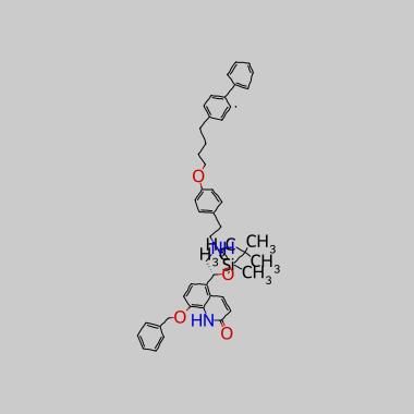 CC(C)(C)[Si](C)(C)O[C@@H](CNCCc1ccc(OCCCCc2c[c]c(-c3ccccc3)cc2)cc1)c1ccc(OCc2ccccc2)c2[nH]c(=O)ccc12